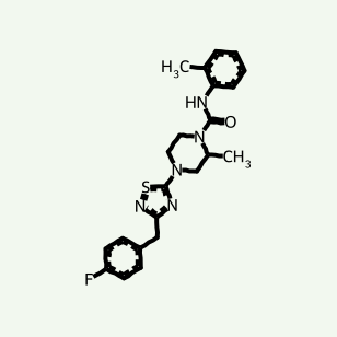 Cc1ccccc1NC(=O)N1CCN(c2nc(Cc3ccc(F)cc3)ns2)CC1C